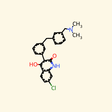 CN(C)Cc1cccc(Cc2cccc(-c3c(O)c4ccc(Cl)cc4[nH]c3=O)c2)c1